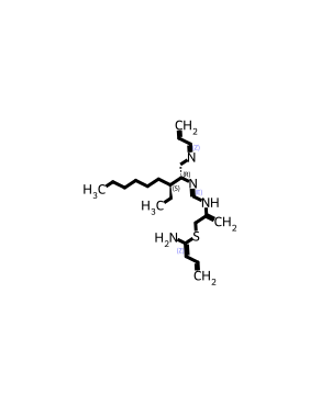 C=C/C=N\C[C@H](/N=C/NC(=C)CS/C(N)=C\C=C)[C@@H](CC)CCCCCC